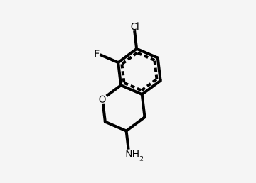 NC1COc2c(ccc(Cl)c2F)C1